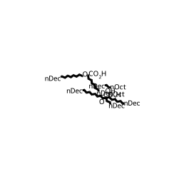 CCCCCCCCCCCC(O)CCCCCCCC.CCCCCCCCCCCCCCCCCC(=O)C(CCCCCCCCCCCC)(C(=O)O)C(CCCCCCCC)CCCCCCCCCCCCCCC.CCCCCCCCCCCCCCCCCCOC(CCCCCCCCCCCCCCCC)C(=O)O